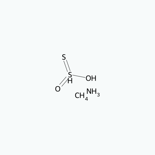 C.N.O=[SH](O)=S